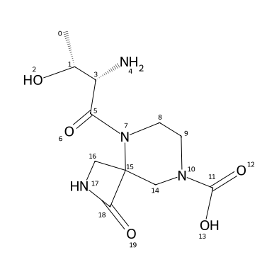 C[C@@H](O)[C@H](N)C(=O)N1CCN(C(=O)O)CC12CNC2=O